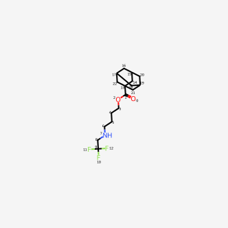 O=C(OCCCCNCC(F)(F)F)C12CC3CC(CC(C3)C1)C2